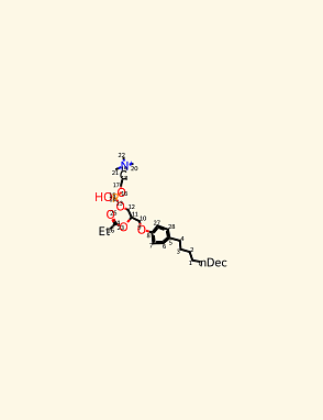 CCCCCCCCCCCCCCc1ccc(OCC(COP(O)OCC[N+](C)(C)C)OC(=O)CC)cc1